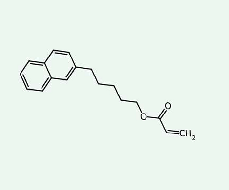 C=CC(=O)OCCCCCc1ccc2ccccc2c1